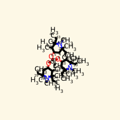 CCC1(C)CC(O[Si](C)(OC2CC(C)(CC)N(C)C(C)(CC)C2C)OC2CC(C)(CC)N(C)C(C)(CC)C2C)C(C)C(C)(CC)N1C